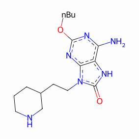 CCCCOc1nc(N)c2[nH]c(=O)n(CCC3CCCNC3)c2n1